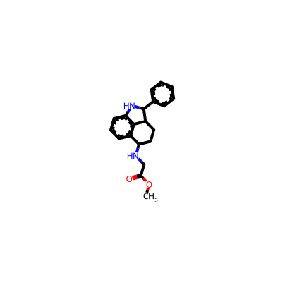 COC(=O)CNC1CCC2c3c(cccc31)NC2c1ccccc1